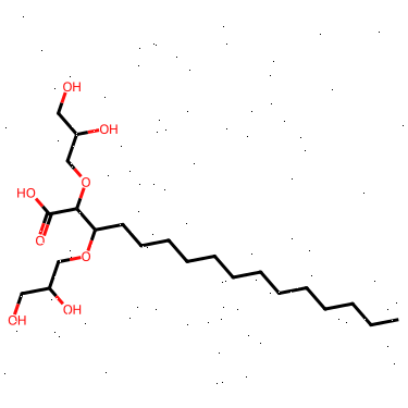 CCCCCCCCCCCCCC(OCC(O)CO)C(OCC(O)CO)C(=O)O